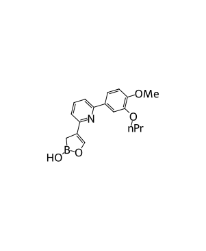 CCCOc1cc(-c2cccc(C3=COB(O)C3)n2)ccc1OC